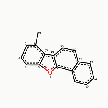 Cc1cccc2oc3c4ccccc4ccc3c12